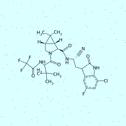 CC(C)(C)C(NC(=O)C(F)(F)F)C(=O)N1C[C@H]2[C@@H]([C@H]1C(=O)N[C@H](C#N)CC1C(=O)Nc3c(Cl)cc(F)cc31)C2(C)C